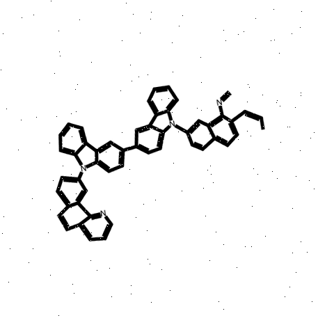 C=Nc1c(/C=C\C)ccc2ccc(-n3c4ccccc4c4cc(-c5ccc6c(c5)c5ccccc5n6-c5ccc6ccc7cccnc7c6c5)ccc43)cc12